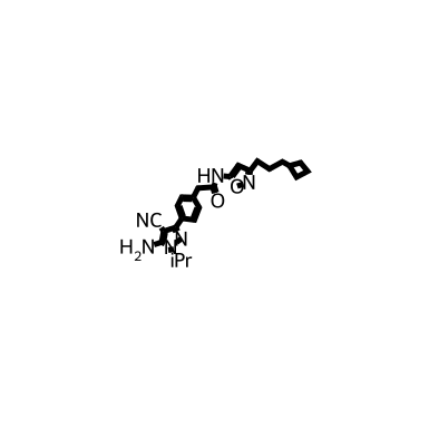 CC(C)n1nc(-c2ccc(CC(=O)Nc3cc(CCCC4CCC4)no3)cc2)c(C#N)c1N